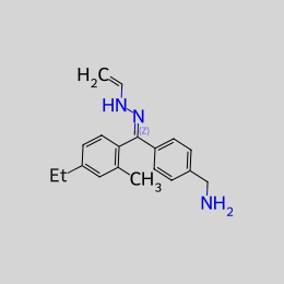 C=CN/N=C(/c1ccc(CN)cc1)c1ccc(CC)cc1C